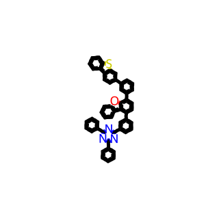 c1ccc(-c2nc(-c3ccccc3)nc(-c3cccc(-c4ccc(-c5cccc(-c6ccc7c(c6)sc6ccccc67)c5)c5oc6ccccc6c45)c3)n2)cc1